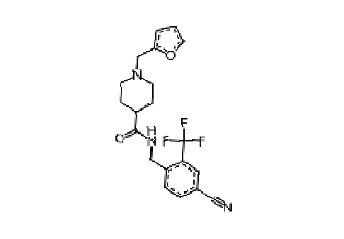 N#Cc1ccc(CNC(=O)C2CCN(Cc3ccco3)CC2)c(C(F)(F)F)c1